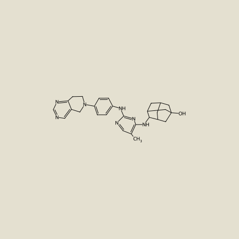 Cc1cnc(Nc2ccc(N3CCc4ncncc4C3)cc2)nc1NC1C2CC3CC1CC(O)(C3)C2